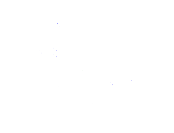 Cc1cc(-c2ccccn2)nc2ccc(Oc3c(Cl)cc(N4N=C(C#N)C(O)NC4O)cc3Cl)cc12